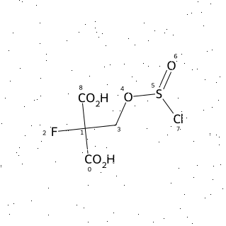 O=C(O)C(F)(COS(=O)Cl)C(=O)O